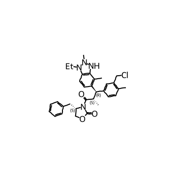 CCN1c2ccc([C@@H](c3ccc(C)c(CCl)c3)[C@H](C)C(=O)N3C(=O)OC[C@@H]3Cc3ccccc3)c(C)c2NN1C